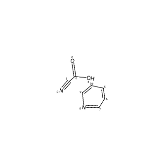 N#CC(=O)O.c1ccncc1